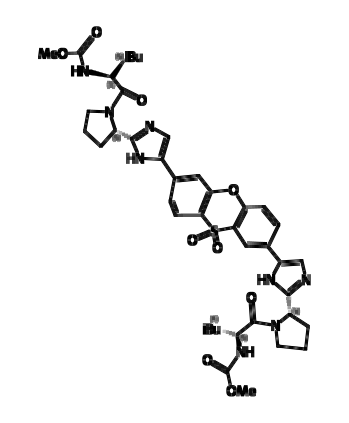 CC[C@H](C)[C@H](NC(=O)OC)C(=O)N1CCC[C@H]1c1ncc(-c2ccc3c(c2)Oc2ccc(-c4cnc([C@@H]5CCCN5C(=O)[C@@H](NC(=O)OC)[C@@H](C)CC)[nH]4)cc2S3(=O)=O)[nH]1